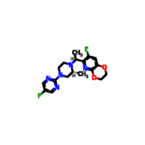 C[C@@H]1CN(c2ncc(F)cn2)CCN1[C@@H](C)c1nc2c(cc1F)OCCO2